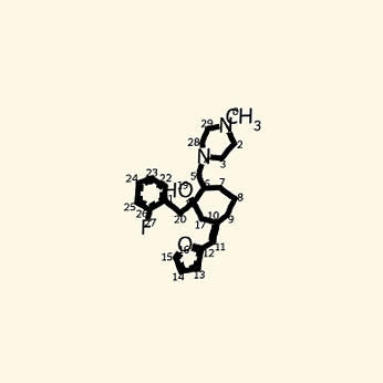 CN1CCN(CC2CCCC(=Cc3ccco3)CC2(O)Cc2ccccc2F)CC1